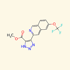 COC(=O)c1[nH]nnc1-c1cc2cc(OC(F)(F)F)ccc2cn1